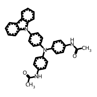 CC(=O)Nc1ccc(N(c2ccc(NC(C)=O)cc2)c2ccc(-n3c4ccccc4c4ccccc43)cc2)cc1